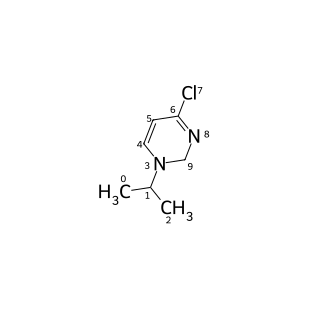 CC(C)N1C=CC(Cl)=NC1